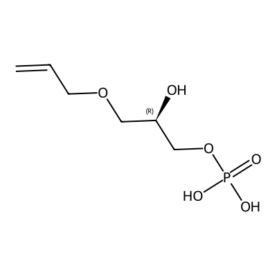 C=CCOC[C@@H](O)COP(=O)(O)O